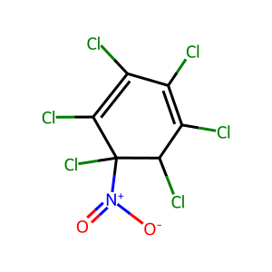 O=[N+]([O-])C1(Cl)C(Cl)=C(Cl)C(Cl)=C(Cl)C1Cl